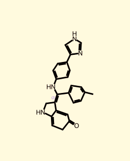 Cc1ccc(/C(Nc2ccc(-c3c[nH]cn3)cc2)=C2/CNC3=CCC(=O)C=C32)cc1